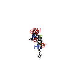 CCCCCCCN[S+]([O-])c1ccc(-c2c(F)cc3c(=O)c(C(=O)O)cn(C4CC4)c3c2OC)cc1